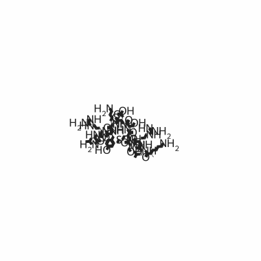 CSCC[C@H](NC(=O)[C@H](CO)NC(=O)[C@H](CCCNC(=N)N)NC(=O)[C@@H](CC(C)C)NC(=O)[C@@H](C)CCCCN)C(=O)N[C@H](C(=O)N[C@@H](CC(=O)O)C(=O)N[C@@H](CCCCN)C(=O)N[C@@H](Cc1ccc(O)cc1)C(=O)N[C@@H](CCCNC(=N)N)C(=O)N[C@@H](CC(C)C)C(N)=O)[C@@H](C)O